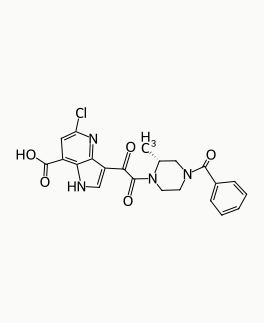 C[C@@H]1CN(C(=O)c2ccccc2)CCN1C(=O)C(=O)c1c[nH]c2c(C(=O)O)cc(Cl)nc12